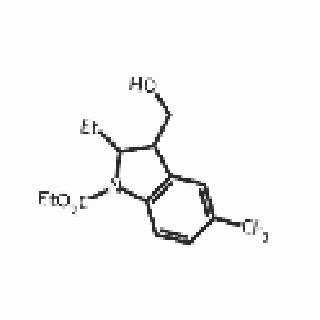 CCOC(=O)N1c2ccc(C(F)(F)F)cc2C(CO)C1CC